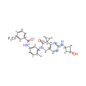 Cc1ccc(NC(=O)c2cccc(C(F)(F)F)c2)cc1N1Cc2cnc(NC3CC(O)C3)nc2C2(CC2)C1=O